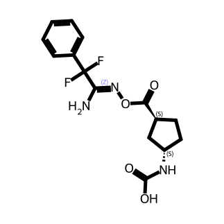 N/C(=N\OC(=O)[C@H]1CC[C@H](NC(=O)O)C1)C(F)(F)c1ccccc1